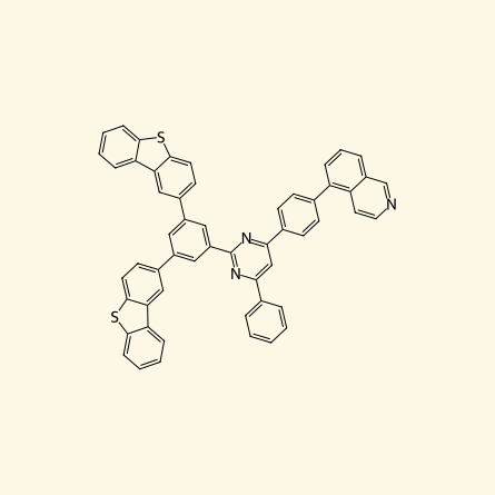 c1ccc(-c2cc(-c3ccc(-c4cccc5cnccc45)cc3)nc(-c3cc(-c4ccc5sc6ccccc6c5c4)cc(-c4ccc5sc6ccccc6c5c4)c3)n2)cc1